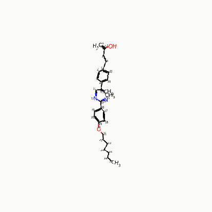 C=C(O)CCc1ccc(C(=C)/C=N\C(=N/C)c2ccc(OCCCCCCC)cc2)cc1